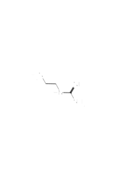 N=C(N)NCCN